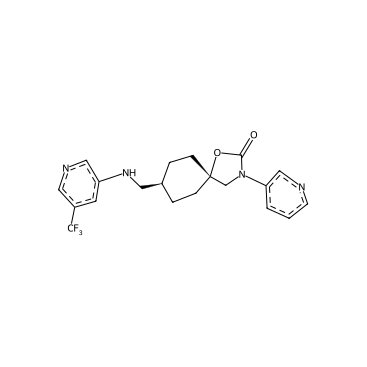 O=C1O[C@]2(CC[C@H](CNc3cncc(C(F)(F)F)c3)CC2)CN1c1cccnc1